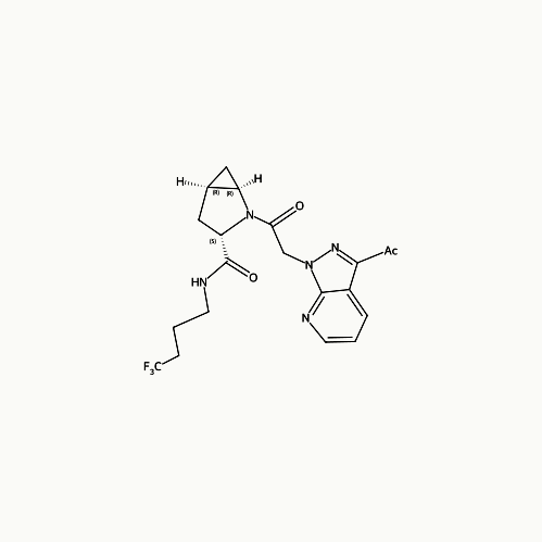 CC(=O)c1nn(CC(=O)N2[C@@H]3C[C@@H]3C[C@H]2C(=O)NCCCC(F)(F)F)c2ncccc12